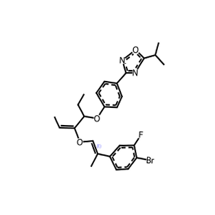 CC=C(O/C=C(\C)c1ccc(Br)c(F)c1)C(CC)Oc1ccc(-c2noc(C(C)C)n2)cc1